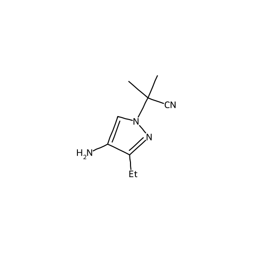 CCc1nn(C(C)(C)C#N)cc1N